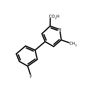 Cc1cc(-c2cccc(F)c2)cc(C(=O)O)n1